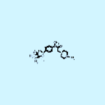 CN1CCN(CC(=O)N(C)c2ccc(B3OC(C)(C)C(C)(C)O3)cc2)CC1